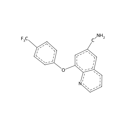 NCc1cc(Oc2ccc(C(F)(F)F)cc2)c2ncccc2c1